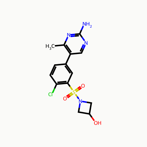 Cc1nc(N)ncc1-c1ccc(Cl)c(S(=O)(=O)N2CC(O)C2)c1